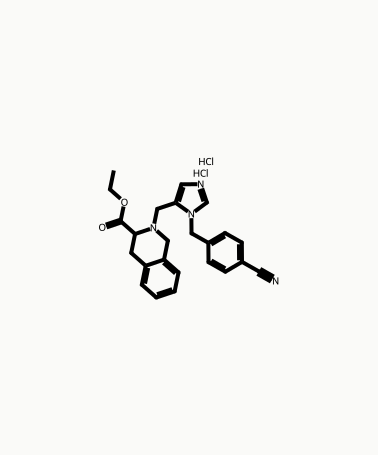 CCOC(=O)C1Cc2ccccc2CN1Cc1cncn1Cc1ccc(C#N)cc1.Cl.Cl